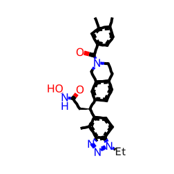 CCn1nnc2c(C)c([C@@H](CC(=O)NO)c3ccc4c(c3)CN(C(=O)c3ccc(C)c(C)c3)CC4)ccc21